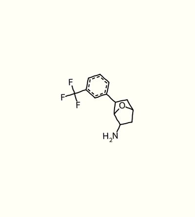 NC1CC2CC(c3cccc(C(F)(F)F)c3)C1O2